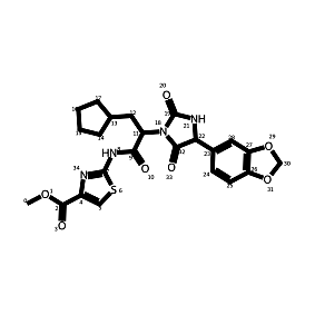 COC(=O)c1csc(NC(=O)C(CC2CCCC2)N2C(=O)NC(c3ccc4c(c3)OCO4)C2=O)n1